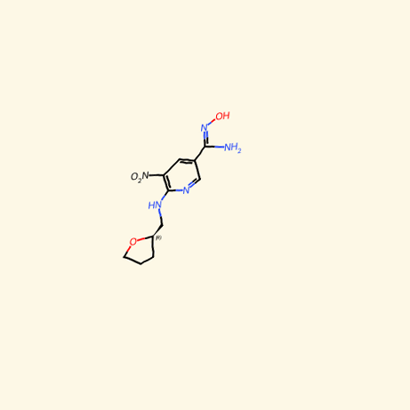 NC(=NO)c1cnc(NC[C@H]2CCCO2)c([N+](=O)[O-])c1